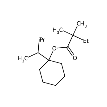 CCC(C)(C)C(=O)OC1(C(C)C(C)C)CCCCC1